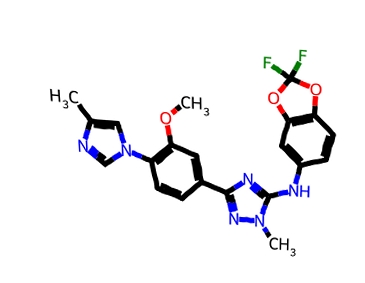 COc1cc(-c2nc(Nc3ccc4c(c3)OC(F)(F)O4)n(C)n2)ccc1-n1cnc(C)c1